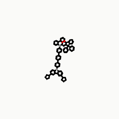 c1ccc(-c2ccccc2N(c2ccc(-c3ccc(-c4ccc(-n5c6ccc(C7CCCC7)cc6c6cc(C7CCCC7)ccc65)cc4)cc3)cc2)c2ccc3c(c2)C(c2ccccc2)(c2ccccc2)c2ccccc2-3)cc1